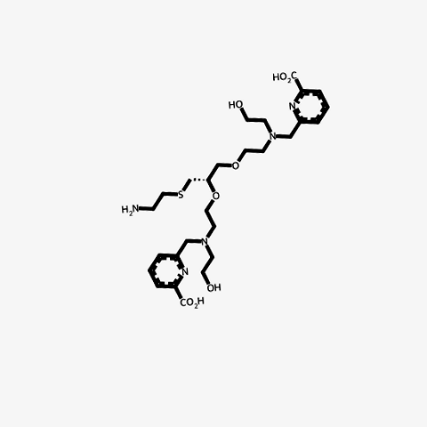 NCCSC[C@H](COCCN(CCO)Cc1cccc(C(=O)O)n1)OCCN(CCO)Cc1cccc(C(=O)O)n1